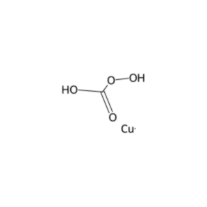 O=C(O)OO.[Cu]